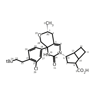 C[C@@H]1CC2=CN([C@H]3CC(C(=O)O)C4CCC43)C(=O)NC2(c2ccc(CCC(C)(C)C)c(Cl)c2)CO1